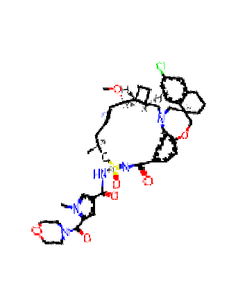 CO[C@H]1/C=C/C[C@H](C)C[S@@](=O)(NC(=O)c2cc(C(=O)N3CCOCC3)n(C)c2)=NC(=O)c2ccc3c(c2)N(C[C@@H]2CC[C@H]21)C[C@@]1(CCCc2cc(Cl)ccc21)CO3